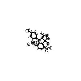 CC1=C(C(=O)c2ccc(Cl)cc2[N+](=O)[O-])C(C)(c2cc(C)ccc2S(=O)(=O)O)N=N1